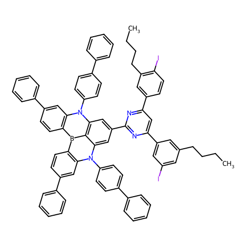 CCCCc1cc(I)cc(-c2cc(-c3ccc(I)c(CCCC)c3)nc(-c3cc4c5c(c3)N(c3ccc(-c6ccccc6)cc3)c3cc(-c6ccccc6)ccc3B5c3ccc(-c5ccccc5)cc3N4c3ccc(-c4ccccc4)cc3)n2)c1